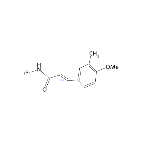 COc1ccc(/C=C/C(=O)NC(C)C)cc1C